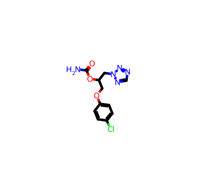 NC(=O)OC(COc1ccc(Cl)cc1)Cn1ncnn1